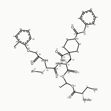 CC(=O)N[C@@H](CS)C(=O)OC(C)OC(=O)[C@H](CC1(C(N)=O)CCN(C(=O)Oc2ccccc2)CC1)NC(=O)[C@H](CC(C)C)NC(=O)COc1ccccc1C